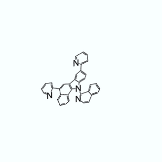 c1ccc(-c2ccc3c(c2)c2cc(-c4ccccn4)c4ccccc4c2n3-c2nccc3ccccc23)nc1